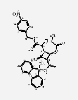 CCSC(=S)SC1C(C(C)O[Si](c2ccccc2)(c2ccccc2)C(C)(C)C)C(=O)N1C(Cl)C(=O)OCc1ccc([N+](=O)[O-])cc1